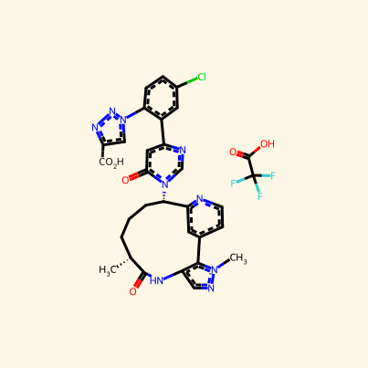 C[C@@H]1CCC[C@H](n2cnc(-c3cc(Cl)ccc3-n3cc(C(=O)O)nn3)cc2=O)c2cc(ccn2)-c2c(cnn2C)NC1=O.O=C(O)C(F)(F)F